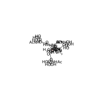 CC(=O)NC1C(OCCCCC(=O)NCCCCC(NC(=O)CCOC(C)C)C(=O)N(C(C)(C)CC(C)(C)CNC(=O)CCCCOC2OC(CO)C(O)C(O)C2NC(C)=O)C(C)(C)CC(C)(C)CNC(=O)CCCCOC2OC(CO)C(O)C(O)C2NC(C)=O)OC(CO)C(O)C1O